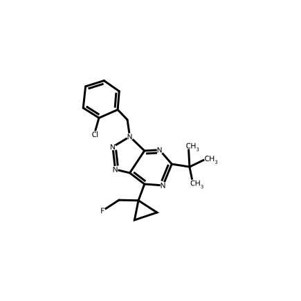 CC(C)(C)c1nc(C2(CF)CC2)c2nnn(Cc3ccccc3Cl)c2n1